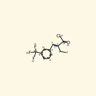 CC/C(=C\c1cccc(C(F)(F)F)c1)C(=O)Cl